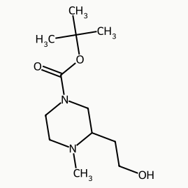 CN1CCN(C(=O)OC(C)(C)C)CC1CCO